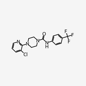 O=C(Nc1ccc(C(F)(F)F)cc1)N1CCN(c2ncccc2Cl)CC1